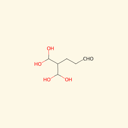 O=CCCC(C(O)O)C(O)O